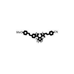 COc1ccc(C=Cc2ccc3c(C4=C(c5c(C)sc(C=Cc6ccc(C#N)cc6)c5C)C(F)(F)C(F)(F)C4(F)F)c(C)sc3c2)cc1